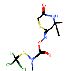 CN(SC(Cl)(Cl)Cl)C(=O)ON=C1SCC(=O)NC1(C)C